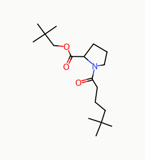 CC(C)(C)CCCC(=O)N1CCCC1C(=O)OCC(C)(C)C